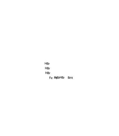 Br.Br.Br.Br.Br.Br.[Fe].[Fe]